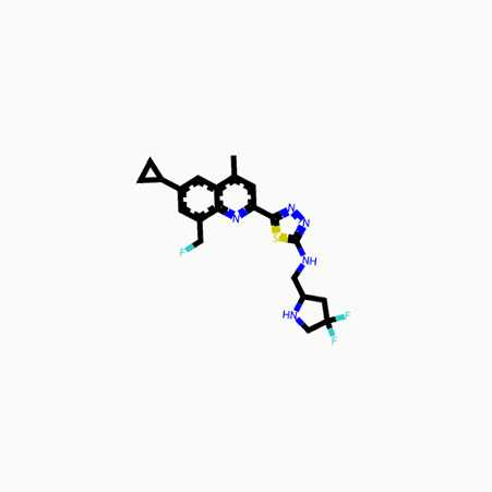 Cc1cc(-c2nnc(NCC3CC(F)(F)CN3)s2)nc2c(CF)cc(C3CC3)cc12